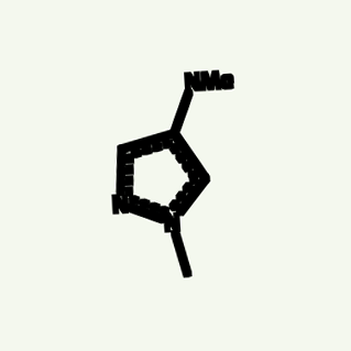 CNc1cnn(C)c1